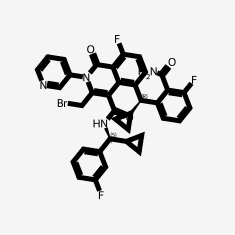 NC(=O)c1c(F)cccc1[C@H](c1ccc(F)c2c(=O)n(-c3cccnc3)c(CBr)c(C(=O)N[C@H](c3cccc(F)c3)C3CC3)c12)C1CC1